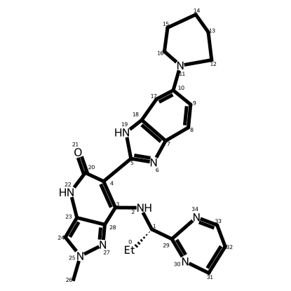 CC[C@H](Nc1c(-c2nc3ccc(N4CCCCC4)cc3[nH]2)c(=O)[nH]c2cn(C)nc12)c1ncccn1